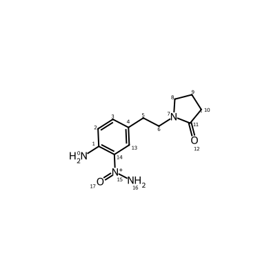 Nc1ccc(CCN2CC[CH]C2=O)cc1[N+](N)=O